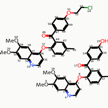 COc1cc2nccc(Oc3ccc(C)cc3C(=O)c3ccc(O)cc3)c2cc1OC.COc1cc2nccc(Oc3ccc(C)cc3C(=O)c3ccc(OCCCl)cc3)c2cc1OC